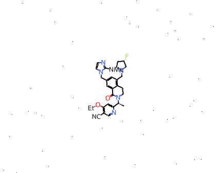 CCOc1cc([C@H](C)N2CCc3c(CN4CC[C@H](F)C4)cc(Cn4ccnc4NC)cc3C2=O)ncc1C#N